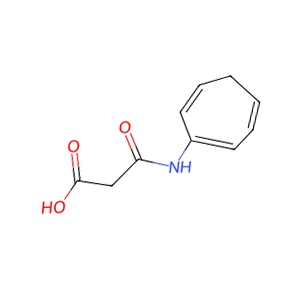 O=C(O)CC(=O)NC1=CC=CCC=C1